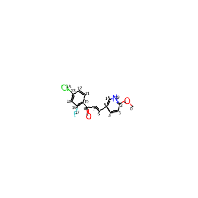 COc1ccc(/C=C/C(=O)c2ccc(Cl)cc2F)cn1